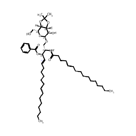 CCCCCCCCCCCCC/C=C/[C@@H](OC(=O)c1ccccc1)[C@H](CO[C@H]1O[C@H](CO)[C@@H]2OC(C)(C)O[C@@H]2[C@H]1O)NC(=O)CCCCCCCCCCCCCCC